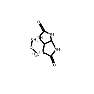 COC.O=C1NC2NC(=O)NC2N1